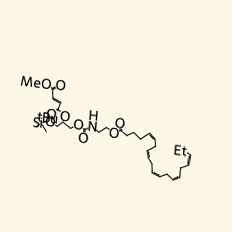 CC/C=C\C/C=C\C/C=C\C/C=C\C/C=C\CCCC(=O)OCCNC(=O)OCC(CO[Si](C)(C)C(C)(C)C)OC(=O)/C=C/C(=O)OC